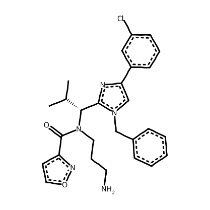 CC(C)[C@H](c1nc(-c2cccc(Cl)c2)cn1Cc1ccccc1)N(CCCN)C(=O)c1ccon1